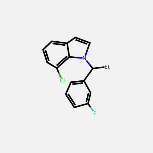 [CH2]CC(c1cccc(F)c1)n1ccc2cccc(Cl)c21